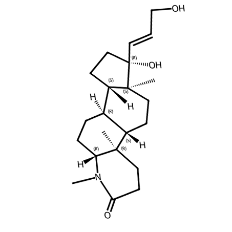 CN1C(=O)CC[C@]2(C)[C@H]3CC[C@@]4(C)[C@@H](CC[C@@]4(O)C=CCO)[C@@H]3CC[C@@H]12